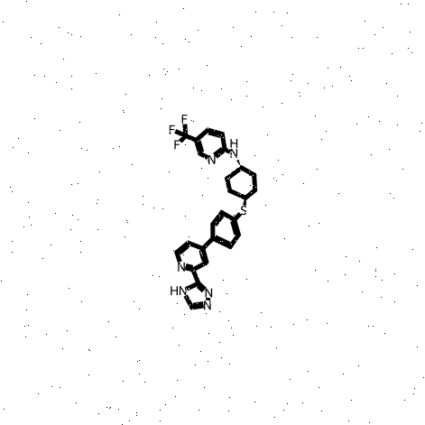 FC(F)(F)c1ccc(N[C@H]2CC[C@H](Sc3ccc(-c4ccnc(-c5nnc[nH]5)c4)cc3)CC2)nc1